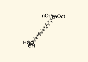 CCCCCCCCN(CCCCCCCC)CCCCCCCCCCCCCCCCCCOP(O)O